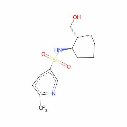 O=S(=O)(N[C@@H]1CCCC[C@H]1CO)c1ccc(C(F)(F)F)nc1